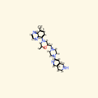 CC1CN(c2ccc(C(F)(F)F)c3nccnc23)CC(CN2CCN(c3cc4c(cn3)CCNC4)CC2)O1